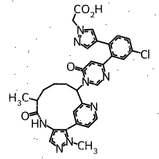 CC1CCCC(n2cnc(-c3cc(Cl)ccc3-c3cnn(CC(=O)O)c3)cc2=O)c2cc(ccn2)-c2c(cnn2C)NC1=O